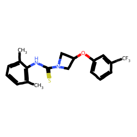 Cc1cccc(C)c1NC(=S)N1CC(Oc2cccc(C(F)(F)F)c2)C1